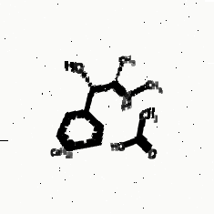 CC(=O)O.CN[C@@H](C)[C@@H](O)c1ccccc1.[CaH2]